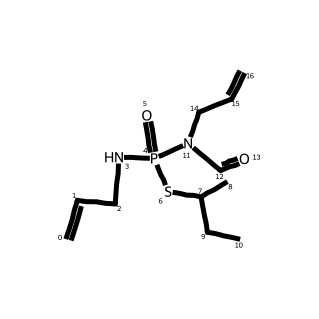 C=CCNP(=O)(SC(C)CC)N(C=O)CC=C